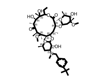 CCC1OC(=O)[C@H](C)[C@H](OC2C[C@@](C)(OC)[C@@H](O)[C@H](C)O2)[C@H](C)[C@@H](OC2O[C@H](C)C[C@H](N(C)Cc3ccc(C(C)(C)C)cc3)[C@H]2O)[C@@H](C)[C@@](C)(OC)[C@@H](C)C(=O)[C@H](C)[C@@H](O)[C@]1(C)O